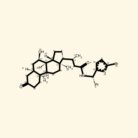 CC(C)[C@H](NC(=O)C[C@@H](C)[C@H]1CC[C@H]2[C@@H]3[C@H](O)C[C@@H]4CC(=O)CC[C@]4(C)[C@H]3CC[C@]12C)c1ccc(Br)s1